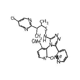 COc1ccnc(OC)c1-n1c(NSC(C)C(C)c2ncc(Cl)cn2)nnc1-c1cccnc1